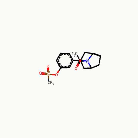 O=C(N1C2CCC1CC(c1cccc(OS(=O)(=O)C(F)(F)F)c1)C2)C(F)(F)F